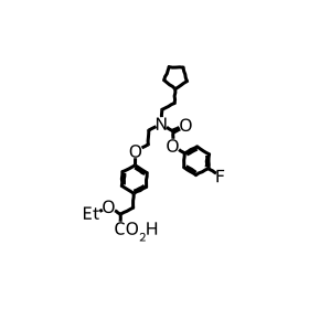 CCOC(Cc1ccc(OCCN(CCC2CCCC2)C(=O)Oc2ccc(F)cc2)cc1)C(=O)O